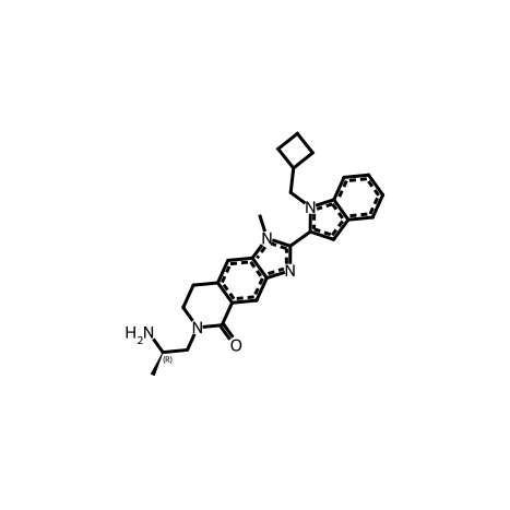 C[C@@H](N)CN1CCc2cc3c(cc2C1=O)nc(-c1cc2ccccc2n1CC1CCC1)n3C